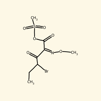 CCC(Br)C(=O)C(=NOC)C(=O)OS(C)(=O)=O